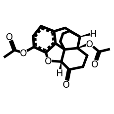 CC(=O)Oc1ccc2c3c1O[C@H]1C(=O)CC[C@@]4(OC(C)=O)[C@H](CCCC314)C2